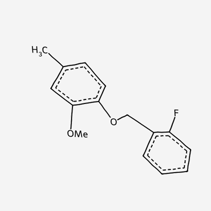 COc1cc(C)ccc1OCc1ccccc1F